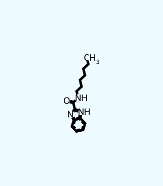 CCCCCCCNC(=O)c1nc2ccccc2[nH]1